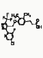 Cc1c(CCC(=O)O)ccc(OCc2c(-c3ncc(Cl)cc3F)nsc2C(F)(F)F)c1C